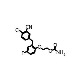 N#Cc1cc(Cc2cc(F)ccc2OCCOC(N)=O)ccc1Cl